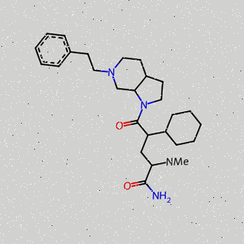 CNC(CC(C(=O)N1CCC2CCN(CCc3ccccc3)CC21)C1CCCCC1)C(N)=O